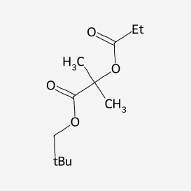 CCC(=O)OC(C)(C)C(=O)OCC(C)(C)C